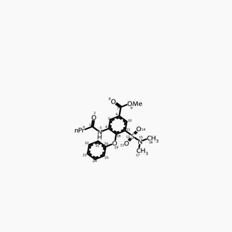 CCCC(=O)Nc1cc(C(=O)OC)cc(S(=O)(=O)N(C)C)c1Oc1ccccc1